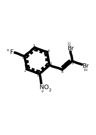 O=[N+]([O-])c1cc(F)ccc1C=C(Br)Br